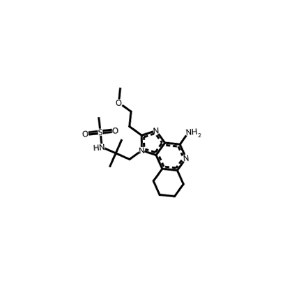 COCCc1nc2c(N)nc3c(c2n1CC(C)(C)NS(C)(=O)=O)CCCC3